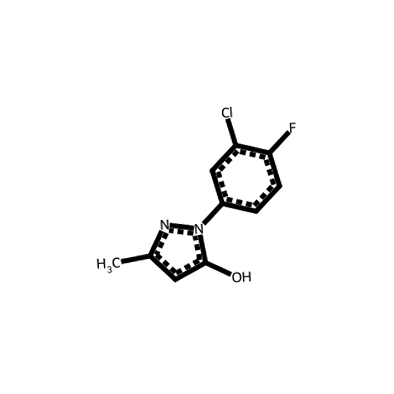 Cc1cc(O)n(-c2ccc(F)c(Cl)c2)n1